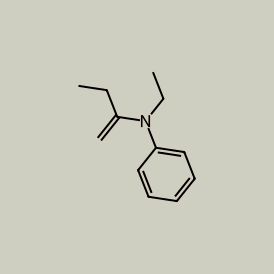 C=C(CC)N(CC)c1ccccc1